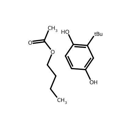 CC(C)(C)c1cc(O)ccc1O.CCCCOC(C)=O